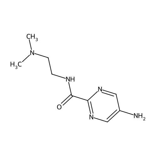 CN(C)CCNC(=O)c1ncc(N)cn1